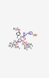 COc1ccc(C[C@@H]2[C@H](OC(=O)NCCN3CC[C@H](O)C3)[C@@H](OC(=O)OC(C)(C)C)CN2C(=O)OC(C)(C)C)cc1